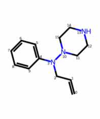 C=CCN(c1ccccc1)N1CCNCC1